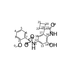 COc1ccccc1S(=O)(=O)Nc1cc(O)c2c(c1)C1(CCC1)C(=O)N2